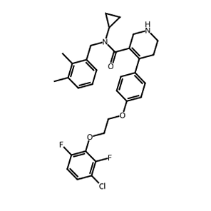 Cc1cccc(CN(C(=O)C2=C(c3ccc(OCCOc4c(F)ccc(Cl)c4F)cc3)CCNC2)C2CC2)c1C